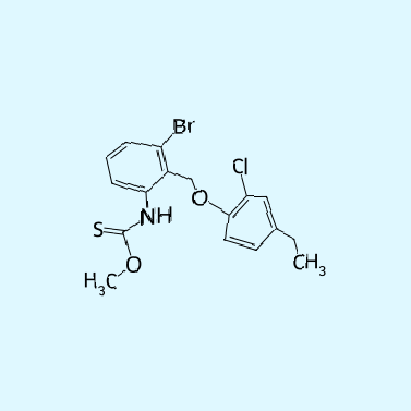 CCc1ccc(OCc2c(Br)cccc2NC(=S)OC)c(Cl)c1